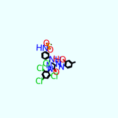 Cc1ccc(/N=N/C2C(=O)N(c3c(Cl)cc(Cl)cc3Cl)N=C2Nc2cc(NS(C)(=O)=O)ccc2Cl)c(O)c1